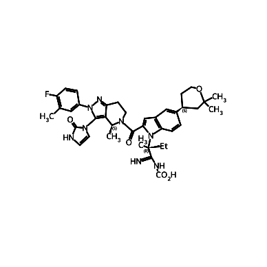 CC[C@](C)(C(=N)NC(=O)O)n1c(C(=O)N2CCc3nn(-c4ccc(F)c(C)c4)c(-n4cc[nH]c4=O)c3[C@@H]2C)cc2cc([C@H]3CCOC(C)(C)C3)ccc21